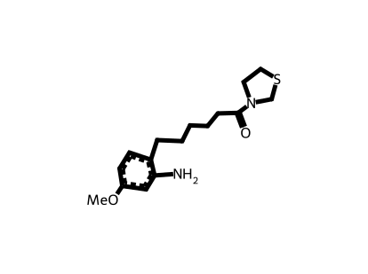 COc1ccc(CCCCCC(=O)N2CCSC2)c(N)c1